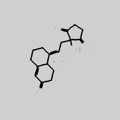 CC1(CC=C2CCCC3=CC(=O)CC[C@]23C)C(=O)CCC1=O